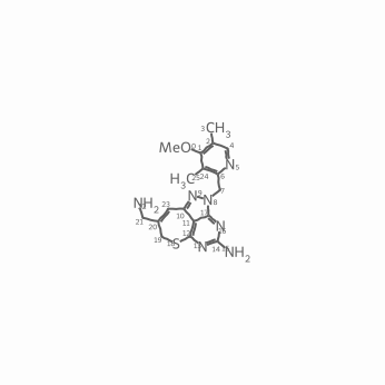 COc1c(C)cnc(Cn2nc3c4c(nc(N)nc42)SCC(CN)=C3)c1C